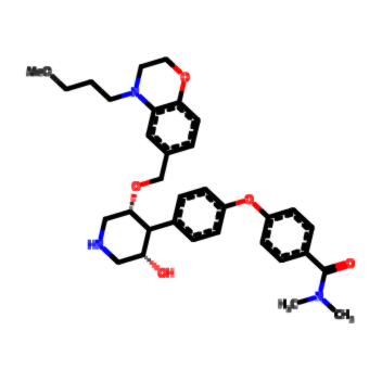 COCCCN1CCOc2ccc(CO[C@H]3CNC[C@@H](O)C3c3ccc(Oc4ccc(C(=O)N(C)C)cc4)cc3)cc21